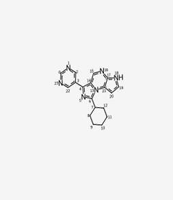 c1ncc(-c2nc(C3CCCCC3)n3c2cnc2[nH]ccc23)cn1